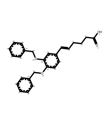 O=C(O)CCCC=Cc1ccc(OCc2ccccc2)c(OCc2ccccc2)c1